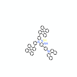 N=C1C(c2ccc(-n3c4ccc5ccccc5c4c4c5ccccc5ccc43)cc2)=CC=C(N(c2ccc(-c3cccc4c3-c3ccccc3C43c4ccccc4-c4ccccc43)cc2)c2cccc(-c3cccc4c3-c3ccccc3C43c4ccccc4-c4ccccc43)c2)/C1=N/S